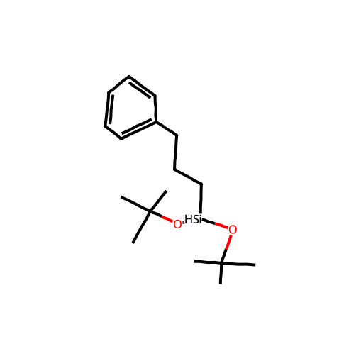 CC(C)(C)O[SiH](CCCc1ccccc1)OC(C)(C)C